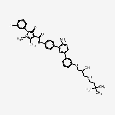 Cc1c(C(=O)Nc2ccc(-c3nc(-c4cccc(OCC(O)CNCCC(C)(C)C)c4)cnc3N)cc2)c(=O)n(-c2cccc(Cl)c2)n1C